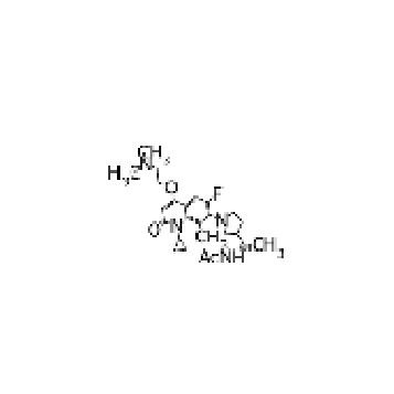 CC(=O)N[C@@H](C)C1CCN(c2c(F)cc3c(OCCN(C)C)cc(=O)n(C4CC4)c3c2C)C1